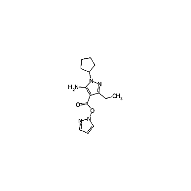 CCc1nn(C2CCCC2)c(N)c1C(=O)On1cccn1